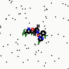 O=C(c1cccc(F)c1-c1ncc(F)cn1)N1C[C@@H]2CC[C@H]1[C@H](Oc1ncc(C(F)(F)F)cc1F)C2